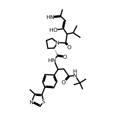 CC(=N)/C=C(\O)C(C(=O)N1CCC[C@H]1C(=O)NC(CC(=O)NC(C)(C)C)c1ccc(-c2scnc2C)cc1)C(C)C